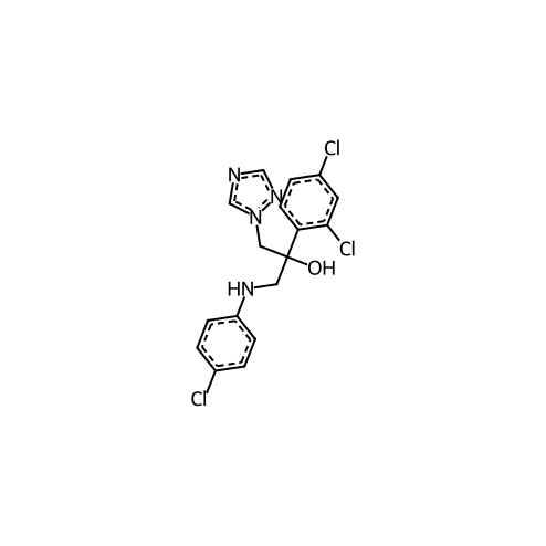 OC(CNc1ccc(Cl)cc1)(Cn1cncn1)c1ccc(Cl)cc1Cl